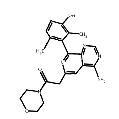 Cc1ccc(O)c(C)c1-c1nc(CC(=O)N2CCOCC2)cc2c(N)ncnc12